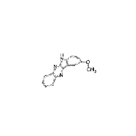 COc1ccc2[nH]c3nc4ccccc4nc3c2c1